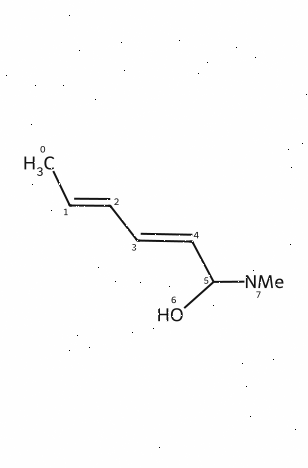 CC=CC=CC(O)NC